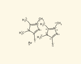 Cc1n(C)c([S-])n[n+]1C.Cc1n(C)c([S-])n[n+]1C.[Au]